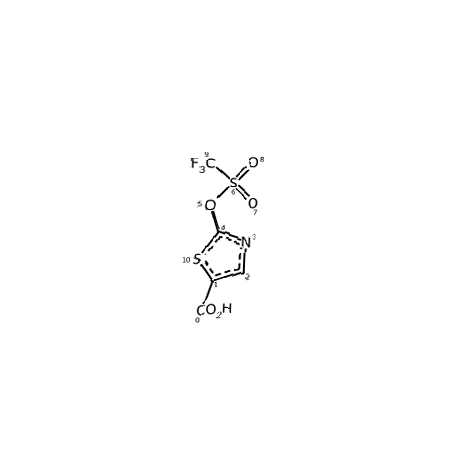 O=C(O)c1cnc(OS(=O)(=O)C(F)(F)F)s1